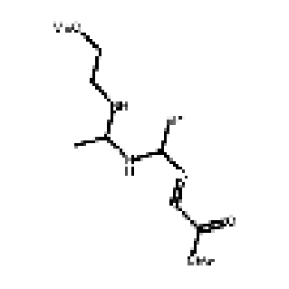 CCCC(/N=C/C(=O)NC)NC(C)NCCOC